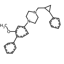 COc1cc(N2CCN(CC3CC3c3ccccc3)CC2)ccc1-c1ccccc1